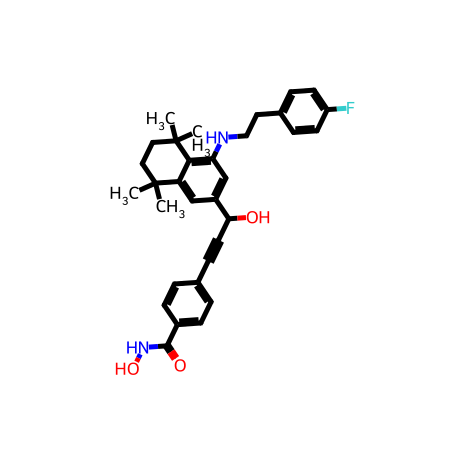 CC1(C)CCC(C)(C)c2c(NCCc3ccc(F)cc3)cc(C(O)C#Cc3ccc(C(=O)NO)cc3)cc21